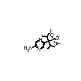 CC(C)C(c1cnc(N)cn1)(C(C)C)P(=O)(O)O